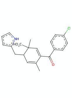 CC1=CC(Cc2ccc[nH]2)C(C)(C(=O)O)C=C1C(=O)c1ccc(Cl)cc1